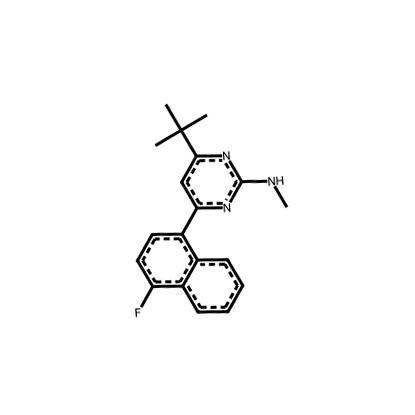 CNc1nc(-c2ccc(F)c3ccccc23)cc(C(C)(C)C)n1